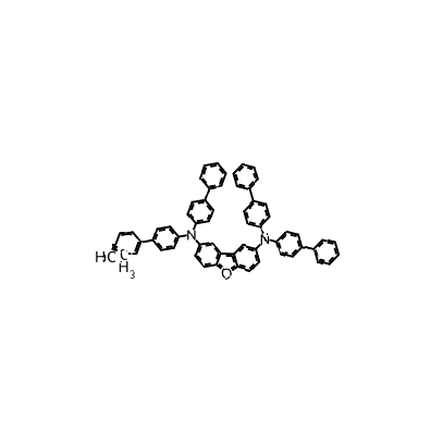 C#C/C=C\C(=C/C)c1ccc(N(c2ccc(-c3ccccc3)cc2)c2ccc3oc4ccc(N(c5ccc(-c6ccccc6)cc5)c5ccc(-c6ccccc6)cc5)cc4c3c2)cc1